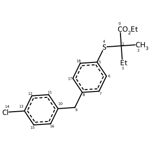 CCOC(=O)C(C)(CC)Sc1ccc(Cc2ccc(Cl)cc2)cc1